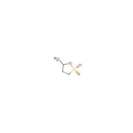 [CH2]C1CCS(=O)(=O)O1